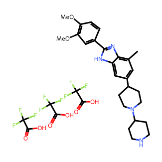 COc1ccc(-c2nc3c(C)cc(C4CCN(C5CCNCC5)CC4)cc3[nH]2)cc1OC.O=C(O)C(F)(F)F.O=C(O)C(F)(F)F.O=C(O)C(F)(F)F